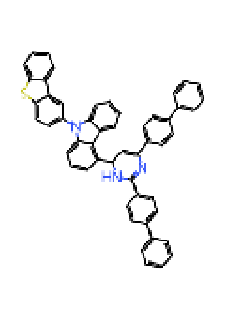 C1=C(c2ccc(-c3ccccc3)cc2)N=C(c2ccc(-c3ccccc3)cc2)NC1c1cccc2c1c1ccccc1n2-c1ccc2sc3ccccc3c2c1